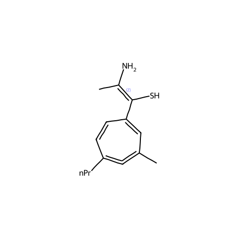 CCCC1=C=C(C)C=C(/C(S)=C(\C)N)C=C1